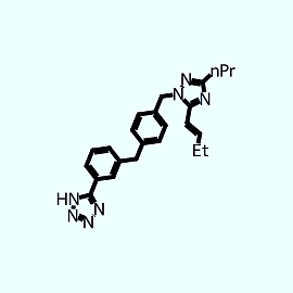 CCC=Cc1nc(CCC)nn1Cc1ccc(Cc2cccc(-c3nnn[nH]3)c2)cc1